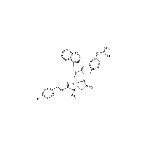 CN(C(=O)NCc1ccc(F)cc1)N1CC(=O)N2[C@@H](Cc3ccc(OP(C)O)cc3)C(=O)N(Cc3cccc4ccccc34)C[C@@H]21